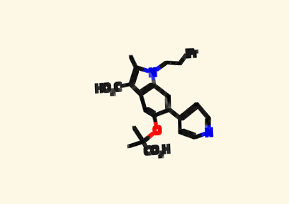 Cc1c(C(=O)O)c2cc(OC(C)(C)C(=O)O)c(-c3ccncc3)cc2n1CCC(C)C